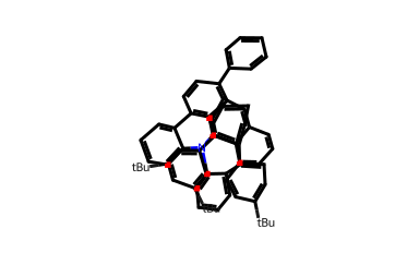 CC(C)(C)c1ccc(-c2ccccc2N(c2ccccc2-c2ccc(-c3ccccc3)cc2)c2ccccc2-c2cccc3cccc(-c4cc(C(C)(C)C)cc(C(C)(C)C)c4)c23)cc1